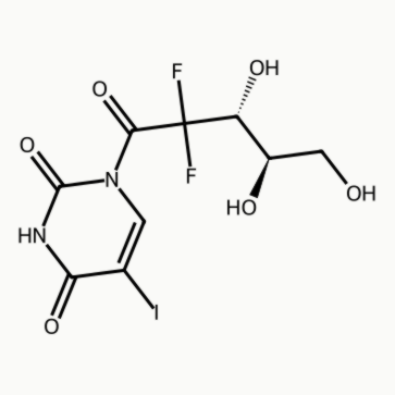 O=C(n1cc(I)c(=O)[nH]c1=O)C(F)(F)[C@H](O)[C@H](O)CO